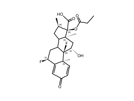 CCC(=O)O[C@]1(C(=O)O)[C@H](C)CC2C3C[C@H](F)C4=CC(=O)C=C[C@]4(C)[C@@]3(F)[C@@H](O)C[C@@]21C